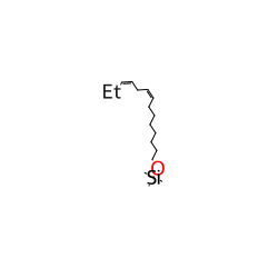 CC/C=C\C/C=C\CCCCCCCO[Si](C)(C)C